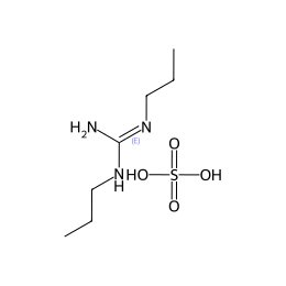 CCC/N=C(\N)NCCC.O=S(=O)(O)O